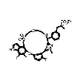 CCOC(=O)[C@H](C)Cc1cccc(C2NCCOCCS(=O)(=O)Cc3c(c(F)c(F)c4[nH]ccc34)Oc3ccc(F)c(c3)-c3nc2nn3C)c1